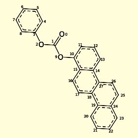 O=C(Oc1ccccc1)Oc1cccc2c1ccc1c3ccccc3ccc21